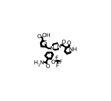 NC(=O)c1ccccc1OC(F)(F)F.O=C(O)c1ccc(CN2CCN(C(=O)c3ccc[nH]c3=O)CC2)s1